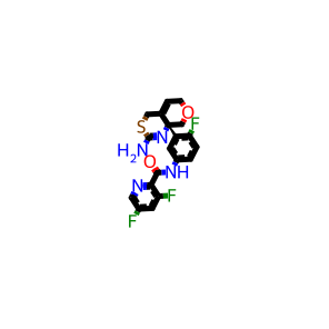 NC1=N[C@@]2(c3cc(NC(=O)c4ncc(F)cc4F)ccc3F)COCC=C2CS1